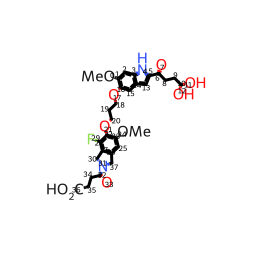 COc1cc2[nH]c(C(=O)CCC(O)O)cc2cc1OCCCOc1c(OC)cc2c(c1F)CN(C(=O)CCC(=O)O)C2